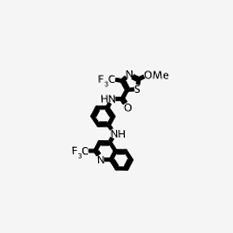 COc1nc(C(F)(F)F)c(C(=O)Nc2cccc(Nc3cc(C(F)(F)F)nc4ccccc34)c2)s1